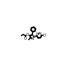 CCC(=O)Oc1c(C)nn(-c2ccc(Cl)nn2)c1-c1ccccc1